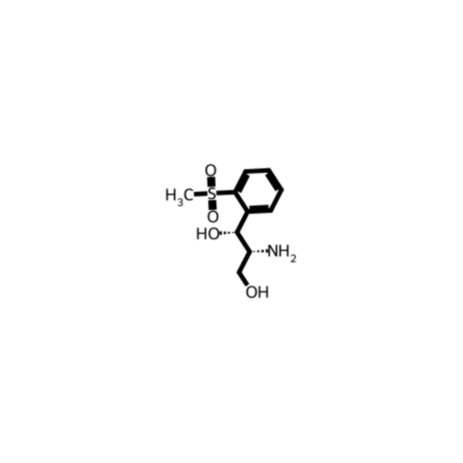 CS(=O)(=O)c1ccccc1[C@@H](O)[C@H](N)CO